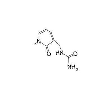 Cn1cccc(CNC(N)=O)c1=O